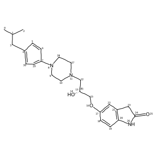 CC(C)Cc1ccc(N2CCN(C[C@@H](O)COc3ccc4c(c3)CC(=O)N4)CC2)cc1